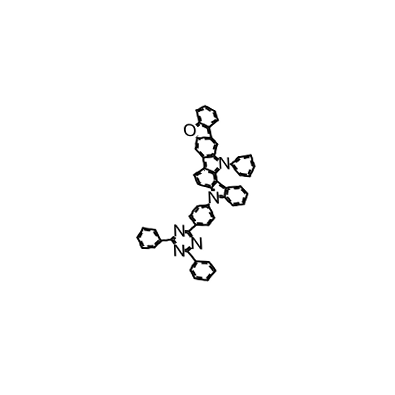 c1ccc(-c2nc(-c3ccccc3)nc(-c3ccc(-n4c5ccccc5c5c4ccc4c6cc7oc8ccccc8c7cc6n(-c6ccccc6)c45)cc3)n2)cc1